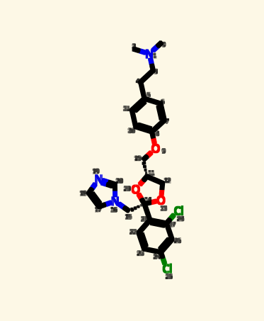 CN(C)CCc1ccc(OC[C@@H]2CO[C@@](Cn3ccnc3)(c3ccc(Cl)cc3Cl)O2)cc1